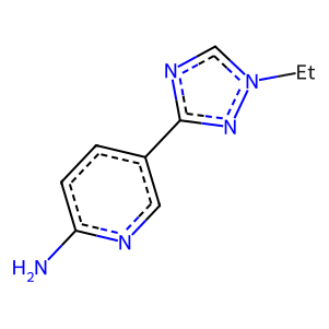 CCn1cnc(-c2ccc(N)nc2)n1